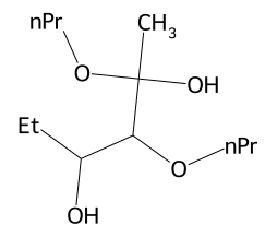 CCCOC(C(O)CC)C(C)(O)OCCC